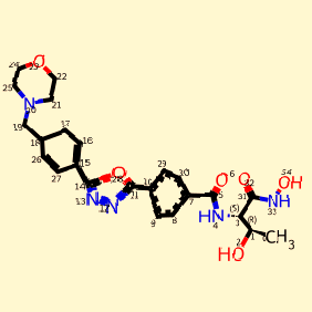 C[C@@H](O)[C@H](NC(=O)c1ccc(-c2nnc(C3=CCC(CN4CCOCC4)C=C3)o2)cc1)C(=O)NO